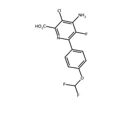 Nc1c(F)c(-c2ccc(OC(F)F)cc2)nc(C(=O)O)c1Cl